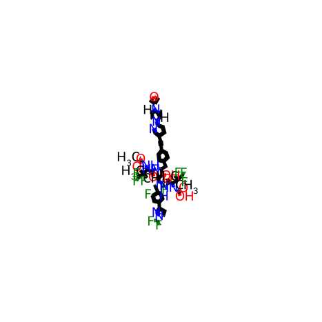 COC(=O)NC(C(=O)NC(Cc1ccc(C#Cc2ccc(N3C[C@@H]4C[C@H]3CN4C3COC3)nc2)cc1)C(O)CN(Cc1c(F)cc(-c2ccn(C(F)F)n2)cc1F)NC(=O)C(NC(=O)O)C(C)(C)C(F)(F)F)C(C)(C)C(F)(F)F